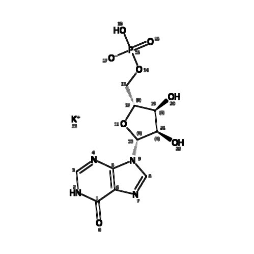 O=c1[nH]cnc2c1ncn2[C@@H]1O[C@H](COP(=O)([O-])O)[C@@H](O)[C@H]1O.[K+]